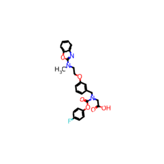 CN(CCOc1cccc(CN(CC(=O)O)C(=O)Oc2ccc(F)cc2)c1)c1nc2ccccc2o1